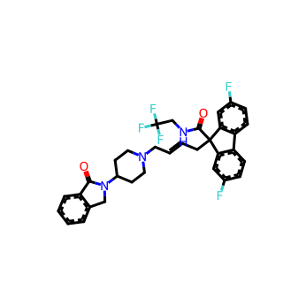 O=C1c2ccccc2CN1C1CCN(C/C=C/CC2(C(=O)NCC(F)(F)F)c3cc(F)ccc3-c3ccc(F)cc32)CC1